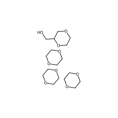 C1COCCO1.C1COCCO1.C1COCCO1.OCC1COCCO1